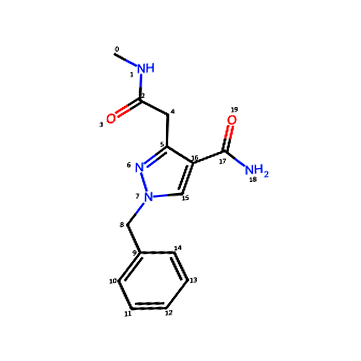 CNC(=O)Cc1nn(Cc2ccccc2)cc1C(N)=O